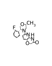 C[C@@H]1CN(c2ccc3c(n2)NC(=O)CO3)[C@H](c2ccccc2F)CO1